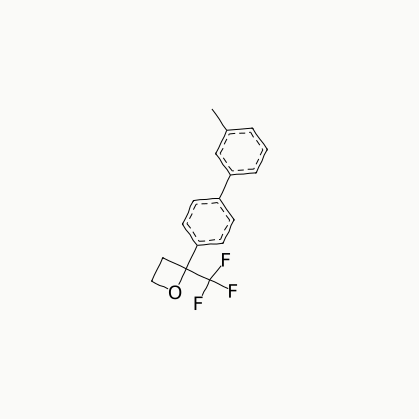 Cc1cccc(-c2ccc(C3(C(F)(F)F)CCO3)cc2)c1